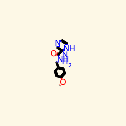 COc1ccc(CNC(=O)C2(N)C=NC=CN2)cc1